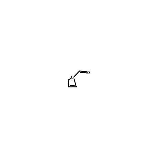 O=[CH][Bi]1[CH]=C[CH2]1